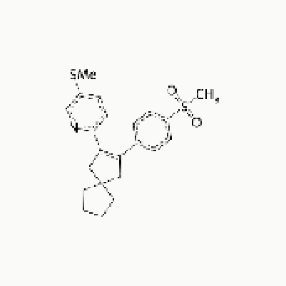 CSc1ccc(C2=C(c3ccc(S(C)(=O)=O)cc3)CC3(CCCC3)C2)nc1